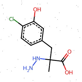 CC(Cc1ccc(Cl)c(O)c1)(NN)C(=O)O